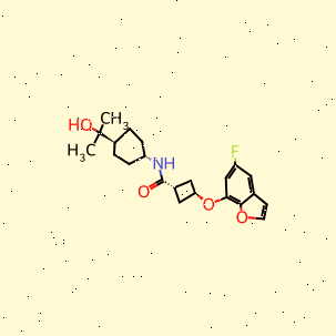 CC(C)(O)[C@H]1CC[C@H](NC(=O)[C@H]2C[C@H](Oc3cc(F)cc4ccoc34)C2)CC1